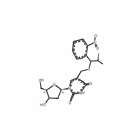 CC(C)C(OCc1cn([C@H]2CC(O)[C@@H](CO)O2)c(=O)[nH]c1=O)c1ccccc1[N+](=O)[O-]